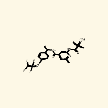 Cc1cc(C(=O)NC(C)c2ccc(OC(F)(F)C(F)F)cc2)cc(NC(=O)C(C)(C)O)n1